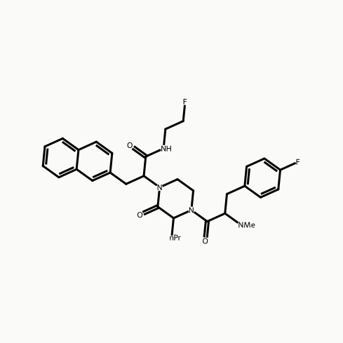 CCCC1C(=O)N(C(Cc2ccc3ccccc3c2)C(=O)NCCF)CCN1C(=O)C(Cc1ccc(F)cc1)NC